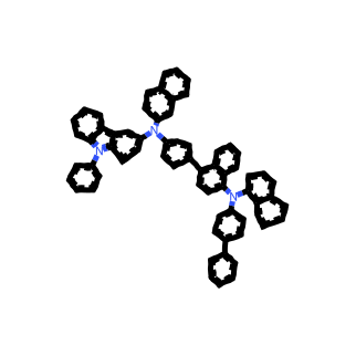 c1ccc(-c2ccc(N(c3cccc4ccccc34)c3ccc(-c4ccc(N(c5ccc6ccccc6c5)c5ccc6c(c5)c5ccccc5n6-c5ccccc5)cc4)c4ccccc34)cc2)cc1